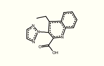 CCc1c(-n2nccn2)c(C(=O)O)nc2ccccc12